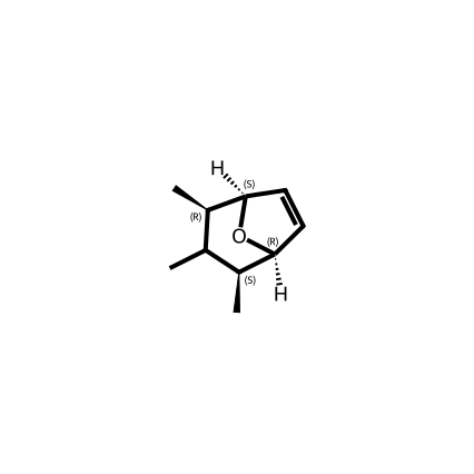 CC1[C@@H](C)[C@H]2C=C[C@H](O2)[C@H]1C